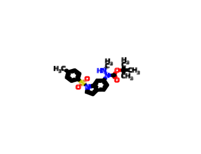 CNN(C(=O)OC(C)(C)C)c1ccc2ccn(S(=O)(=O)c3ccc(C)cc3)c2c1